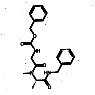 C[C@@H](C(=O)NCc1ccccc1)N(C)C(=O)CNC(=O)OCc1ccccc1